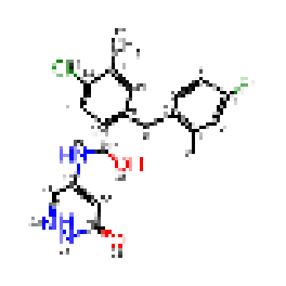 Cc1cc(F)ccc1Cc1cc(C(F)(F)F)c(Cl)cc1C(O)Nc1cn[nH]c(=O)c1